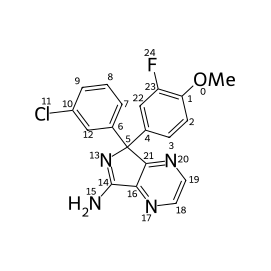 COc1ccc(C2(c3cccc(Cl)c3)N=C(N)c3nccnc32)cc1F